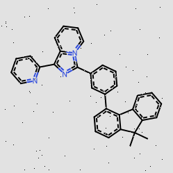 CC1(C)c2ccccc2-c2c(-c3cccc(-c4nc(-c5ccccn5)c5ccccn45)c3)cccc21